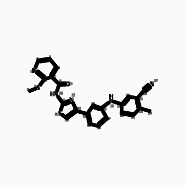 CSc1ncccc1C(=O)Nc1nc(-c2cccc(Nc3ccc(C)c(C#N)c3)c2)cs1